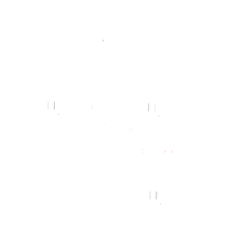 C=CC(=O)C(=C)OC(=C)C(=O)C=C